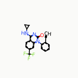 C#Cc1ccccc1-n1c(=O)nc(NC2CC2)c2ccc(C(F)(F)F)cc21